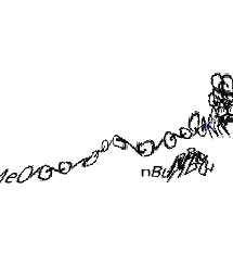 CCCC[N+](CCCC)(CCCC)CCCC.CN/C(=N\OC(=O)COCCOCCOCCOCCOCCOCCOCCOCCOC)[C@@H]1c2c(cnn2C)[C@@H]2CN1C(=O)N2OS(=O)(=O)[O-]